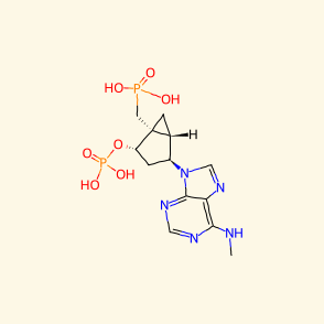 CNc1ncnc2c1ncn2[C@H]1C[C@H](OP(=O)(O)O)[C@@]2(CP(=O)(O)O)C[C@H]12